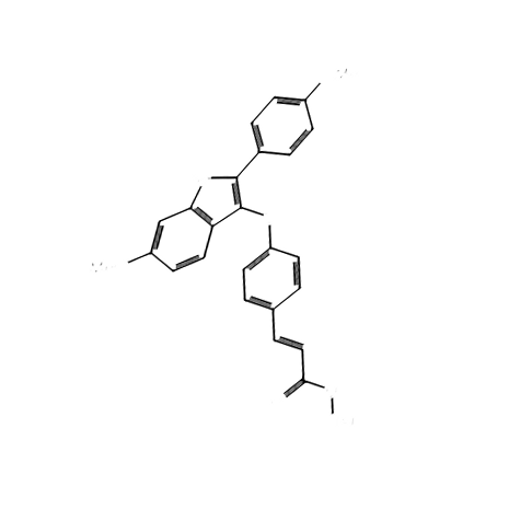 COc1ccc(-c2[se]c3cc(OC)ccc3c2Sc2ccc(/C=C/C(=O)OC(C)(C)C)cc2)cc1